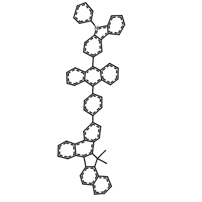 CC1(C)c2c(ccc3ccccc23)-c2c1c1ccc(-c3ccc(-c4c5ccccc5c(-c5ccc6c(c5)c5ccccc5n6-c5ccccc5)c5ccccc45)cc3)cc1c1ccccc21